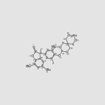 Cc1cc(C2(C)C(=O)Oc3c(C(C)(C)C)cc(C(C)(C)C)cc32)cc(C(C)(C)C)c1OP1OCC2(COPOC2)CO1